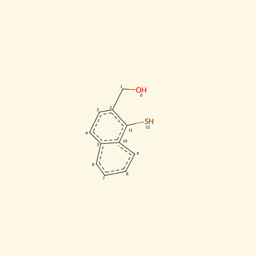 OCc1ccc2ccccc2c1S